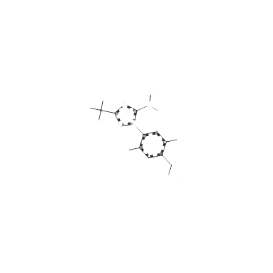 CCc1cc(C)c(-n2nc(C(F)(F)F)nc2N(C)C)cc1S